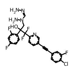 N/N=C\N(N)CC(O)(c1ccc(F)cc1F)C(F)(F)c1ccc(C#Cc2ccc(Cl)c(F)c2)cn1